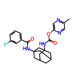 Cc1cnc(OC(=O)NC23CC4CC(C2)CC(NC(=O)c2cccc(F)c2)(C4)C3)cn1